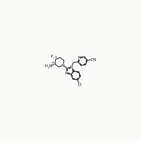 N#Cc1ccc(Cn2c(N3CC[C@@H](F)[C@H](N)C3)nc3cc(Cl)ccc32)nc1